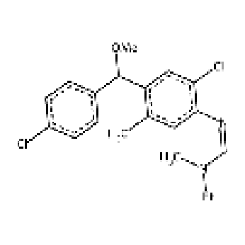 CCN(C)/C=N\c1cc(C)c(C(OC)c2ccc(Cl)cc2)cc1Cl